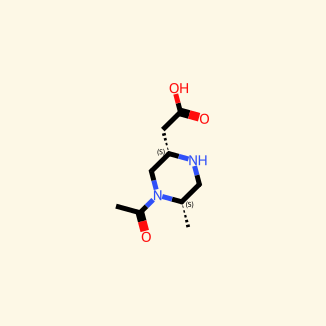 CC(=O)N1C[C@H](CC(=O)O)NC[C@@H]1C